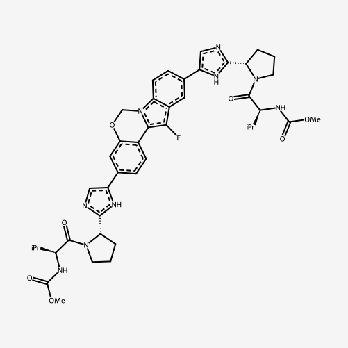 COC(=O)N[C@H](C(=O)N1CCC[C@H]1c1ncc(-c2ccc3c(c2)OCn2c-3c(F)c3cc(-c4cnc([C@@H]5CCCN5C(=O)[C@@H](NC(=O)OC)C(C)C)[nH]4)ccc32)[nH]1)C(C)C